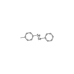 Cc1ccc([Se][Se]c2ccccc2)cc1